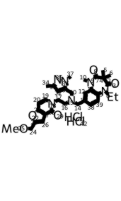 CCN1C(=O)C(C)(C)C(=O)N(C)c2cc(CN(CCn3ccc4oc(COC)cc4c3=O)Cc3cc(C)nn3C)ccc21.Cl.Cl